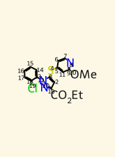 CCOC(=O)c1cc(Sc2ccnc(OC)c2)n(-c2ccccc2Cl)n1